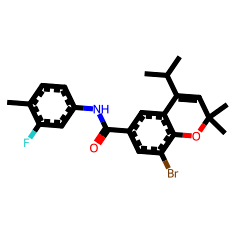 Cc1ccc(NC(=O)c2cc(Br)c3c(c2)C(C(C)C)=CC(C)(C)O3)cc1F